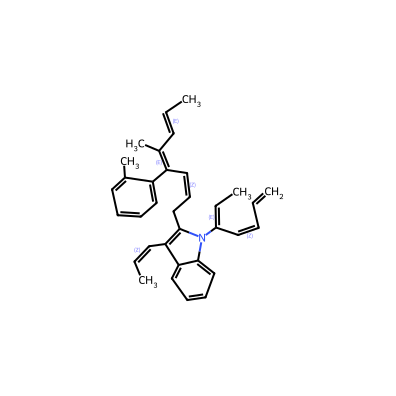 C=C/C=C\C(=C/C)n1c(C\C=C/C(=C(C)\C=C\C)c2ccccc2C)c(/C=C\C)c2ccccc21